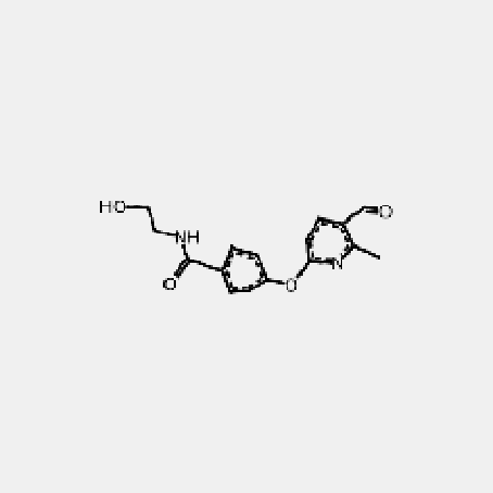 Cc1nc(Oc2ccc(C(=O)NCCO)cc2)ccc1C=O